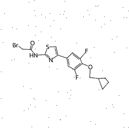 O=C(CBr)Nc1nc(-c2cc(F)c(OCC3CCC3)c(F)c2)cs1